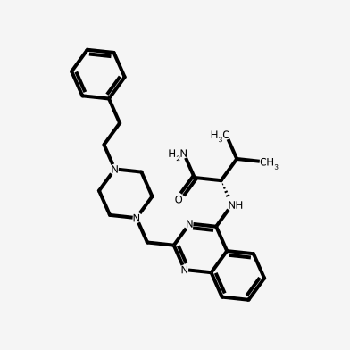 CC(C)[C@H](Nc1nc(CN2CCN(CCc3ccccc3)CC2)nc2ccccc12)C(N)=O